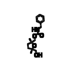 C[C@@]1(CO)CC[C@](C)(COC(=O)NCc2ccccc2)O1